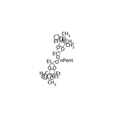 CCCCCC(OCC1(CC)COC2(CC(C)(C)N(OC(C)c3ccccc3)C(CC)(CC)C2)OC1)OCC1(CC)COC2(CC(C)(C)N(OC(C)c3ccccc3)C(CC)(CC)C2)OC1